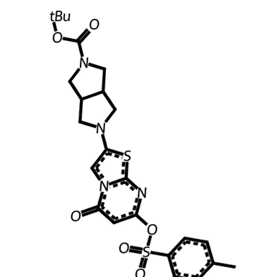 Cc1ccc(S(=O)(=O)Oc2cc(=O)n3cc(N4CC5CN(C(=O)OC(C)(C)C)CC5C4)sc3n2)cc1